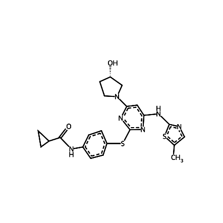 Cc1cnc(Nc2cc(N3CC[C@H](O)C3)nc(Sc3ccc(NC(=O)C4CC4)cc3)n2)s1